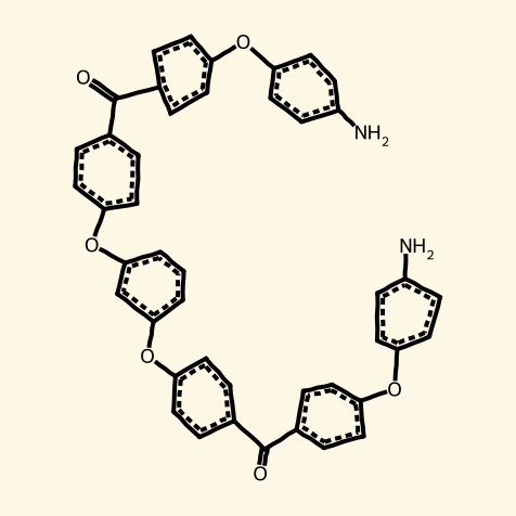 Nc1ccc(Oc2ccc(C(=O)c3ccc(Oc4cccc(Oc5ccc(C(=O)c6ccc(Oc7ccc(N)cc7)cc6)cc5)c4)cc3)cc2)cc1